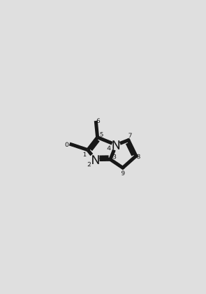 Cc1nc2n(c1C)C=CC2